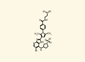 CCN(CC)CCNC(=O)c1ccc(-n2c(C)cc(-c3nc4ncc(Br)c(NC5CCN(S(=O)(=O)CC)C5)c4[nH]3)c2C)cc1